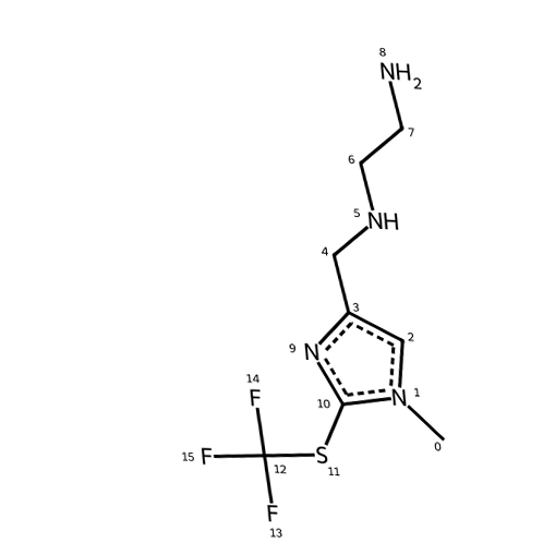 Cn1cc(CNCCN)nc1SC(F)(F)F